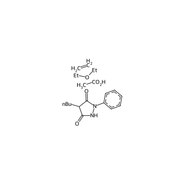 C=C.CC(=O)O.CCCCC1C(=O)NN(c2ccccc2)C1=O.CCOCC